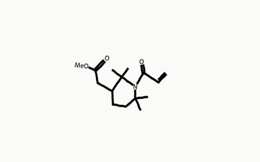 C=CC(=O)N1C(C)(C)CCC(CC(=O)OC)C1(C)C